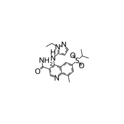 CCn1nccc1Nc1c(C(N)=O)cnc2c(C)cc(S(=O)(=O)C(C)C)cc12